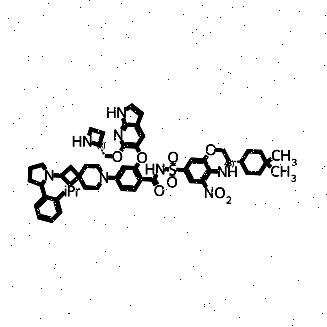 CC(C)c1ccccc1C1CCCN1C1CC2(CCN(c3ccc(C(=O)NS(=O)(=O)c4cc5c(c([N+](=O)[O-])c4)N[C@@H](C4CCC(C)(C)CC4)CO5)c(Oc4cc5cc[nH]c5nc4OC[C@H]4CCN4)c3)CC2)C1